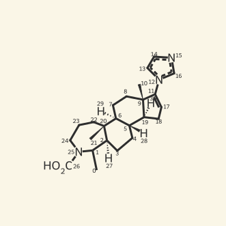 CC1[C@@H]2CC[C@@H]3[C@H](CC[C@]4(C)C(n5ccnc5)=CC[C@@H]34)[C@@]2(C)CCCN1C(=O)O